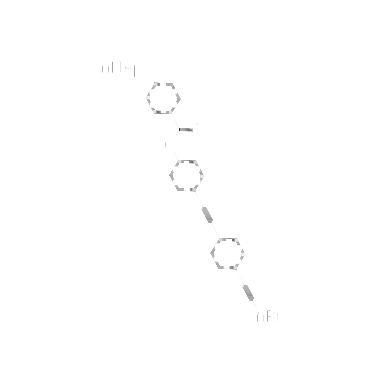 CCCC#Cc1ccc(C#Cc2ccc(OC(=O)c3ccc(CCCCCCC)cc3)cc2)cc1